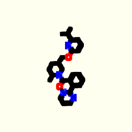 CC(C)c1cccc(OCC2CCC(C)N(C(=O)c3ccccc3-c3ncccn3)C2)n1